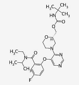 CCN(C(=O)c1cc(F)ccc1Oc1cncnc1N1CCO[C@H](COC(=O)NC(C)(C)C)C1)C(C)C